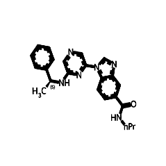 CCCNC(=O)c1ccc2c(c1)ncn2-c1cncc(N[C@@H](C)c2ccccc2)n1